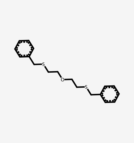 c1ccc(CSCCOCCSCc2ccccc2)cc1